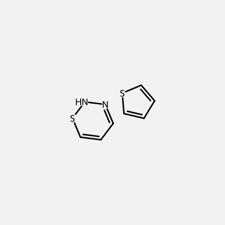 C1=CSNN=C1.c1ccsc1